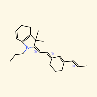 C/C=C/C1=CC(=C/C=C2/N(CCC)C3=C(CCC=C3)C2(C)C)/CCC1